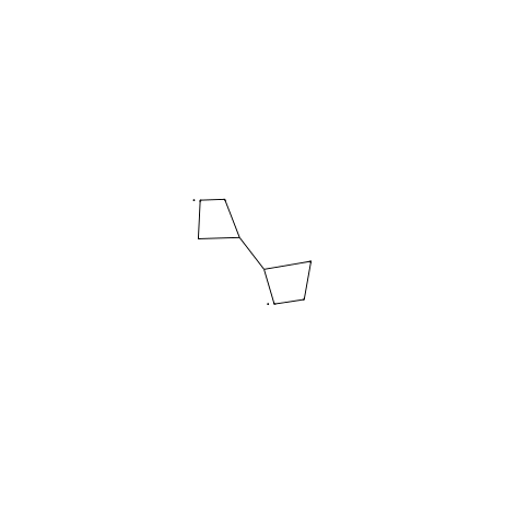 [CH]1CC(C2[CH]CC2)C1